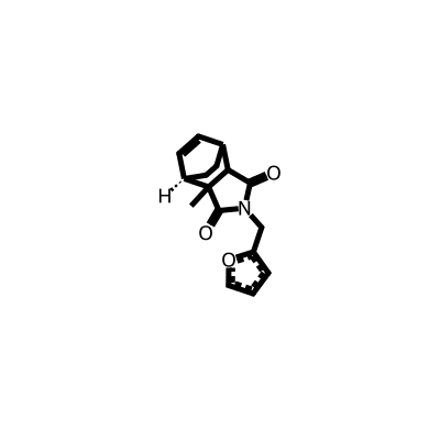 CC12C(=O)N(Cc3ccco3)C(=O)C1C1C=C[C@H]2CC1